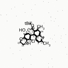 Cc1ccc2c(-c3ccc4c(c3Cl)NCCO4)c([C@@H](OC(C)(C)C)C(=O)O)c(C)cc2n1